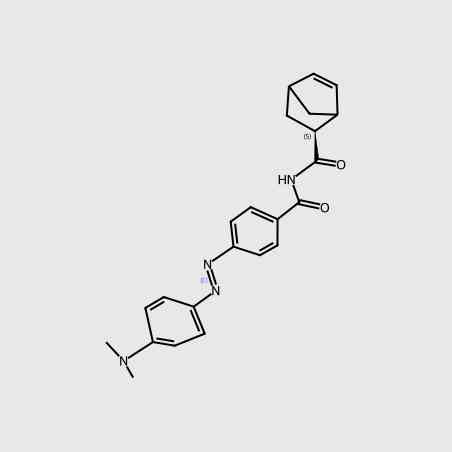 CN(C)c1ccc(/N=N/c2ccc(C(=O)NC(=O)[C@H]3CC4C=CC3C4)cc2)cc1